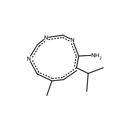 Cc1cncncnc(N)c(C(C)C)c1